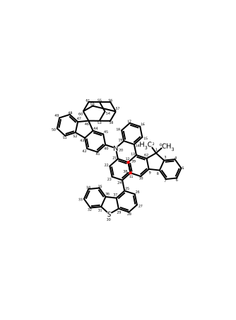 CC1(C)c2ccccc2-c2cccc(-c3ccccc3N(c3ccc(-c4cccc5sc6ccccc6c45)cc3)c3ccc4c(c3)C3(c5ccccc5-4)C4CC5CC(C4)CC3C5)c21